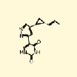 C/C=C/[C@H]1C[C@@H]1c1cnnc(-c2c[nH]c(=O)[nH]c2=O)c1